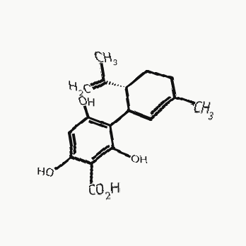 C=C(C)[C@@H]1CCC(C)=CC1c1c(O)cc(O)c(C(=O)O)c1O